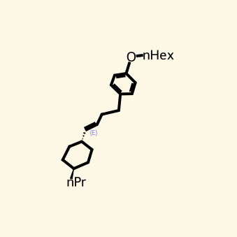 CCCCCCOc1ccc(CC/C=C/[C@H]2CC[C@H](CCC)CC2)cc1